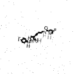 CNc1nc(Nc2ccc(F)cc2)ncc1C#CCCCNC(=O)C1C[C@@H](F)CN1